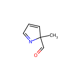 CC1(C=O)C=CC=N1